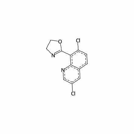 Clc1cnc2c(C3=NCCO3)c(Cl)ccc2c1